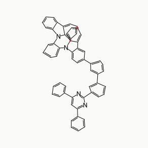 c1ccc(-c2cc(-c3ccccc3)nc(-c3cccc(-c4cccc(-c5ccc6c(c5)c5ccccc5n6-c5ccccc5-n5c6ccccc6c6ccccc65)c4)c3)n2)cc1